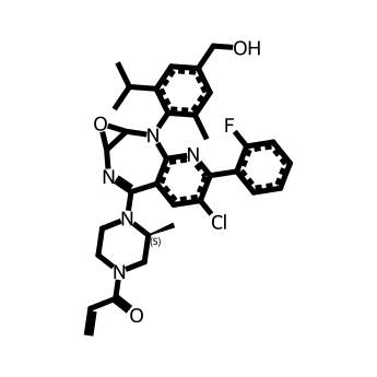 C=CC(=O)N1CCN(C2=NC3OC3N(c3c(C)cc(CO)cc3C(C)C)c3nc(-c4ccccc4F)c(Cl)cc32)[C@@H](C)C1